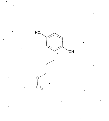 COCCCc1cc(O)ccc1O